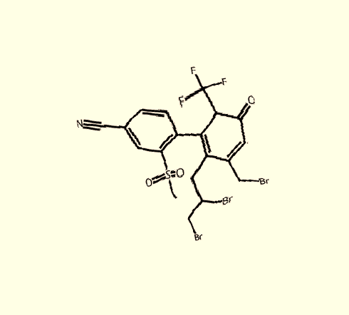 CS(=O)(=O)c1cc(C#N)ccc1C1=C(CC(Br)CBr)C(CBr)=[C]C(=O)C1C(F)(F)F